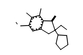 CCC1(C2CCCC2)Cc2cc(OC)c(Cl)c(Cl)c2C1=O